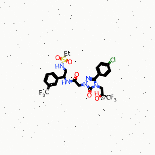 CCS(=O)(=O)NCC(NC(=O)Cn1nc(-c2ccc(Cl)cc2)n(C[C@H](O)C(F)(F)F)c1=O)c1cccc(C(F)(F)F)c1